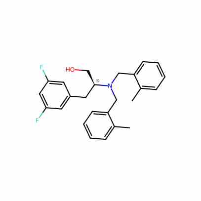 Cc1ccccc1CN(Cc1ccccc1C)[C@H](CO)Cc1cc(F)cc(F)c1